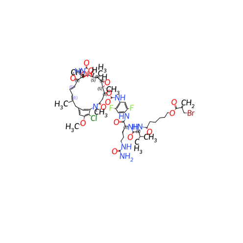 C=C(CBr)C(=O)OCCCCCC(=O)N[C@H](C(=O)N[C@@H](CCCNC(N)=O)C(=O)Nc1cc(F)c(NC(=O)O[C@H]2CC(=O)N(C)c3cc(cc(OC)c3Cl)C/C(C)=C/C=C/[C@@H](OC)[C@@]3(O)C[C@H](OC(=O)N3)[C@@H](C)[C@@H]3O[C@@]23C)cc1F)C(C)C